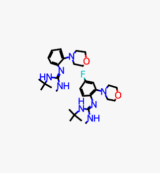 CNC(=Nc1ccc(F)cc1N1CCOCC1)NC(C)(C)C.CNC(=Nc1ccccc1N1CCOCC1)NC(C)(C)C